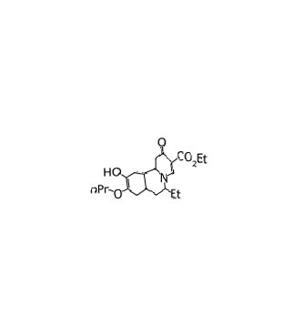 CCCOC1=C(O)CC2C(C1)CC(CC)N1C=C(C(=O)OCC)C(=O)CC21